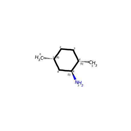 C[C@@H]1CC[C@H](C)[C@@H](N)C1